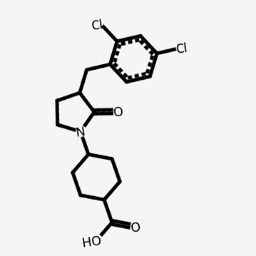 O=C(O)C1CCC(N2CCC(Cc3ccc(Cl)cc3Cl)C2=O)CC1